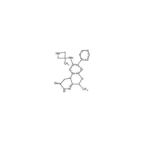 CC1Oc2cc(-c3ccccc3)c(NC3(C)CNC3)cc2N2CC(=O)NN=C12